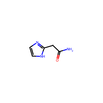 NC(=O)[CH]c1ncc[nH]1